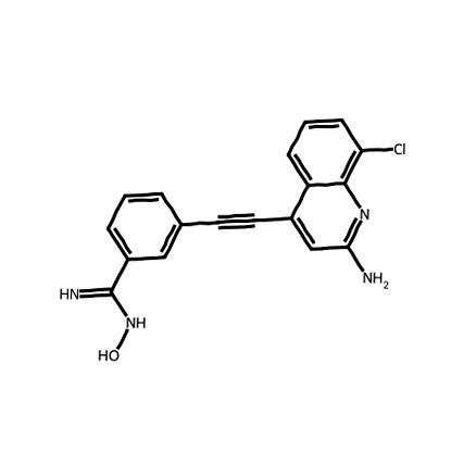 N=C(NO)c1cccc(C#Cc2cc(N)nc3c(Cl)cccc23)c1